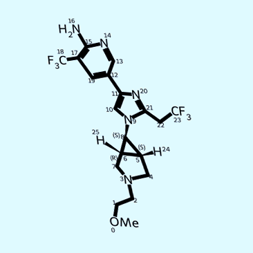 COCCN1C[C@@H]2[C@H](C1)[C@H]2n1cc(-c2cnc(N)c(C(F)(F)F)c2)nc1CC(F)(F)F